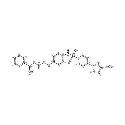 CCCCCCCCc1nc(-c2ccc(S(=O)(=O)Nc3ccc(CCNCC(O)c4cccnc4)cc3)cc2)no1